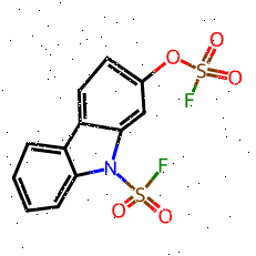 O=S(=O)(F)Oc1ccc2c3ccccc3n(S(=O)(=O)F)c2c1